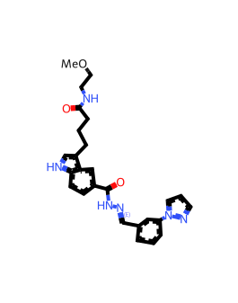 COCCNC(=O)CCCc1c[nH]c2ccc(C(=O)N/N=C/c3cccc(-n4cccn4)c3)cc12